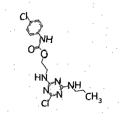 CCCNc1nc(Cl)nc(NCCOC(=O)Nc2ccc(Cl)cc2)n1